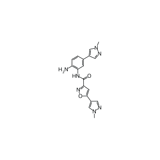 Cn1cc(-c2ccc(N)c(NC(=O)c3cc(-c4cnn(C)c4)on3)c2)cn1